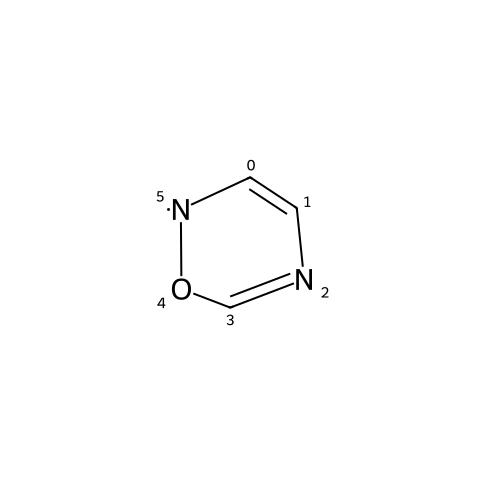 C1=CN=CO[N]1